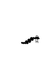 C=CC(=O)NCCCc1ccc(-c2ccc(-c3ccc(CCCCC)cc3)c(C)c2)cc1